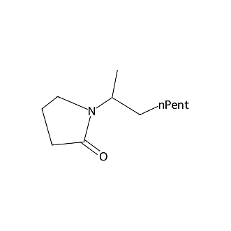 CCCCCCC(C)N1CCCC1=O